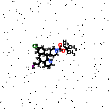 CC(C)(C)OC(=O)N1CCC(C2c3ccc(Cl)cc3C=C(CCI)c3cccnc32)CC1